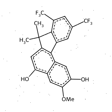 COc1cc2c(O)cc3c(c2cc1O)-c1cc(C(F)(F)F)cc(C(F)(F)F)c1C3(C)C